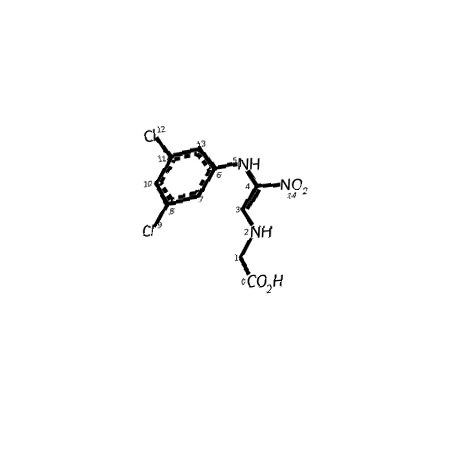 O=C(O)CNC=C(Nc1cc(Cl)cc(Cl)c1)[N+](=O)[O-]